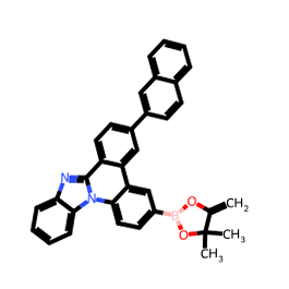 C=C1OB(c2ccc3c(c2)c2cc(-c4ccc5ccccc5c4)ccc2c2nc4ccccc4n32)OC1(C)C